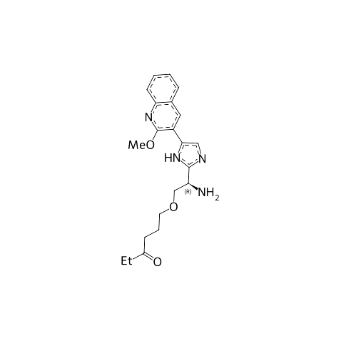 CCC(=O)CCCOC[C@H](N)c1ncc(-c2cc3ccccc3nc2OC)[nH]1